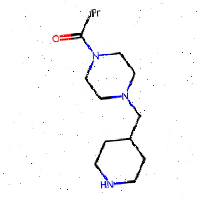 CC(C)C(=O)N1CCN(CC2CCNCC2)CC1